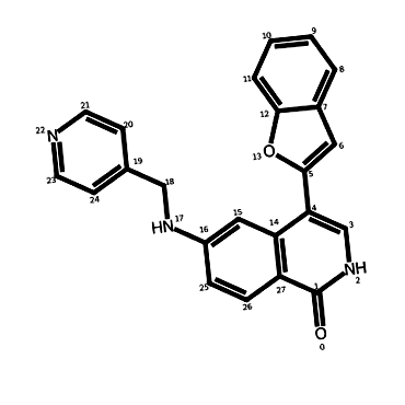 O=c1[nH]cc(-c2cc3ccccc3o2)c2cc(NCc3ccncc3)ccc12